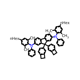 CCCCCCc1cc(C)c(N(c2ccccc2)c2ccc3c(c2)C(c2ccc4c(c2)CC4)(c2ccc4c(c2)CC4)c2cc(N(c4ccccc4)c4c(C)cc(CCCCCC)cc4C)ccc2-3)c(C)c1